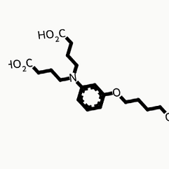 CC(=O)OCCCCOc1cccc(N(CCCC(=O)O)CCCC(=O)O)c1